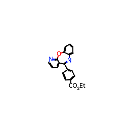 CCOC(=O)c1ccc(C2=Nc3ccccc3Oc3ncccc32)cc1